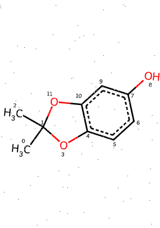 CC1(C)Oc2ccc(O)cc2O1